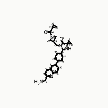 NCc1ccc2cc(-c3ccc(C4NC5(CC5)C(=O)N4CC4CN(C(=O)C5CC5)C4)cc3)ccc2n1